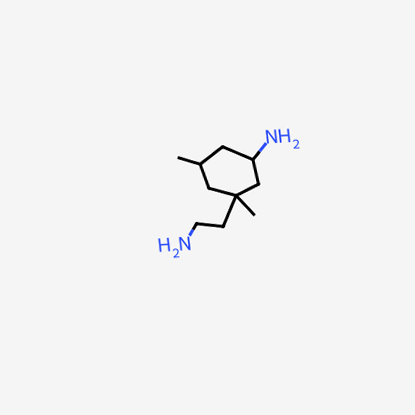 CC1CC(N)CC(C)(CCN)C1